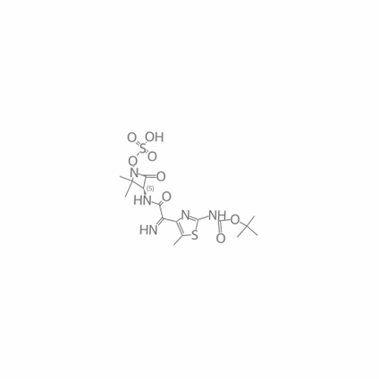 Cc1sc(NC(=O)OC(C)(C)C)nc1C(=N)C(=O)N[C@@H]1C(=O)N(OS(=O)(=O)O)C1(C)C